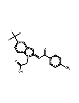 Cc1ccc(C(=O)/N=c2\sc3cc(C(F)(F)F)ccc3n2CC(=O)O)cc1